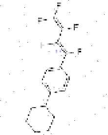 FC(F)=C(F)/C(F)=C(\F)c1ccc(C2CCCCC2)cc1